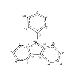 [c]1ccc(-n2c3ccccc3c3ccccc32)cc1